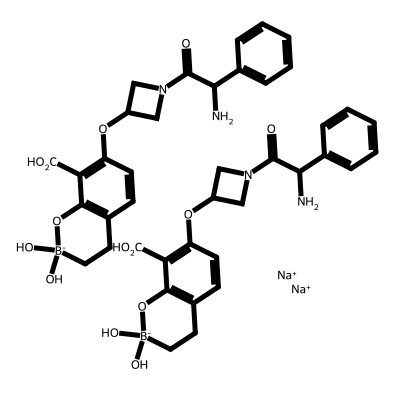 NC(C(=O)N1CC(Oc2ccc3c(c2C(=O)O)O[B-](O)(O)CC3)C1)c1ccccc1.NC(C(=O)N1CC(Oc2ccc3c(c2C(=O)O)O[B-](O)(O)CC3)C1)c1ccccc1.[Na+].[Na+]